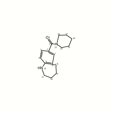 O=C(c1ccc2c(c1)SCCCN2)N1CCCCC1